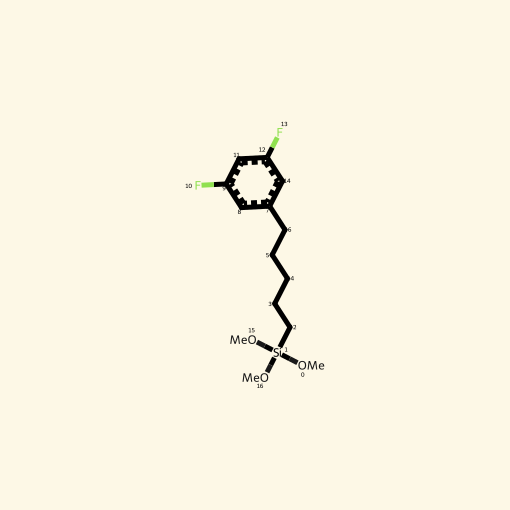 CO[Si](CCCCCc1cc(F)cc(F)c1)(OC)OC